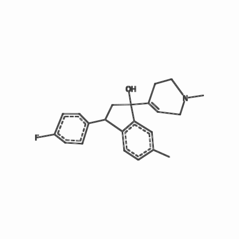 Cc1ccc2c(c1)C(O)(C1=CCN(C)CC1)CC2c1ccc(F)cc1